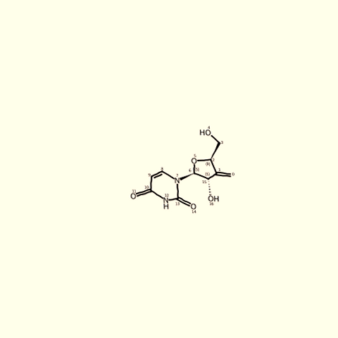 C=C1[C@H](CO)O[C@H](n2ccc(=O)[nH]c2=O)[C@H]1O